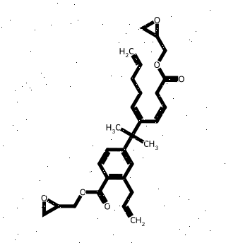 C=CCC/C=C(\C=C/CC(=O)OCC1CO1)C(C)(C)c1ccc(C(=O)OCC2CO2)c(CC=C)c1